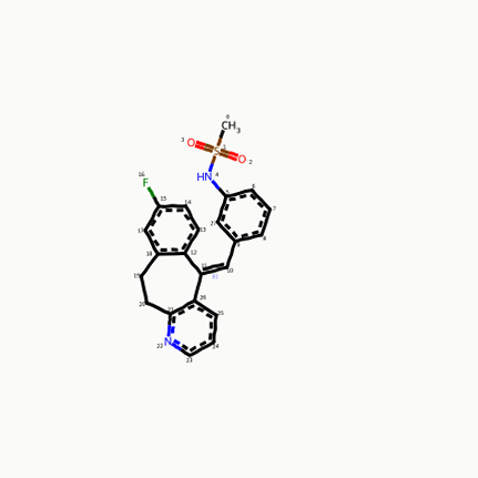 CS(=O)(=O)Nc1cccc(/C=C2\c3ccc(F)cc3CCc3ncccc32)c1